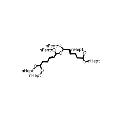 CCCCCCCOC(CCC=CC(OCCCCC)OC(C=CCCC(OCCCCCCC)OCCCCCCC)OCCCCC)OCCCCCCC